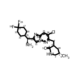 C[C@@H]1CNC(=O)C(Cc2nn3cc([C@@H](N)C4CCC(F)(F)CC4)nc3cc2Cl)C1